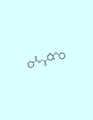 O=C(COC(=O)c1ccccc1)c1cnc(Oc2ccccc2)nc1